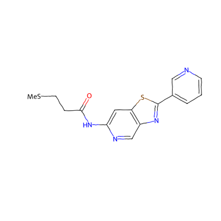 CSCCC(=O)Nc1cc2sc(-c3cccnc3)nc2cn1